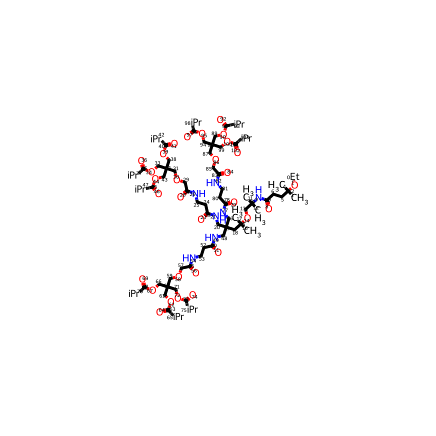 CCOC(C)(C)CCC(=O)NC(C)(C)COC(C)(C)CC(CNC(=O)CCNC(=O)COCC(COC(=O)C(C)C)(COC(=O)C(C)C)COC(=O)C(C)C)(CNC(=O)CCNC(=O)COCC(COC(=O)C(C)C)(COC(=O)C(C)C)COC(=O)C(C)C)CNC(=O)CCNC(=O)COCC(COC(=O)C(C)C)(COC(=O)C(C)C)COC(=O)C(C)C